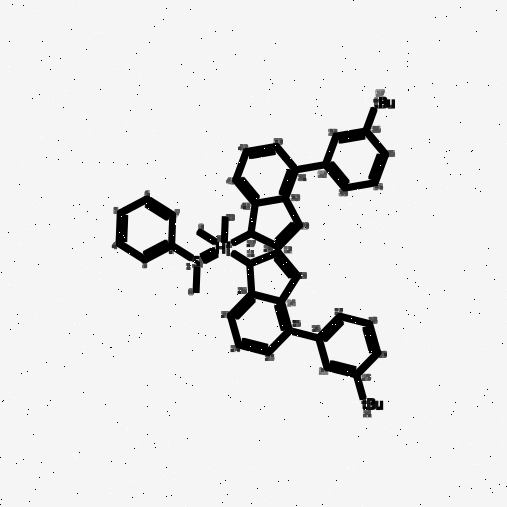 C[Si](c1ccccc1)=[Hf]([CH3])([CH3])([CH]1C=Cc2c(-c3cccc(C(C)(C)C)c3)cccc21)[CH]1C=Cc2c(-c3cccc(C(C)(C)C)c3)cccc21